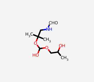 CC(O)COC(O)OC(C)(C)CNC=O